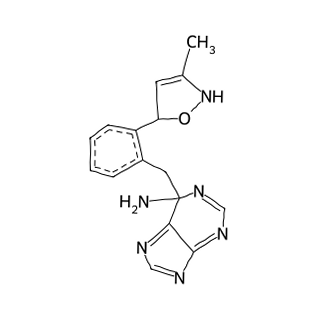 CC1=CC(c2ccccc2CC2(N)N=CN=C3N=CN=C32)ON1